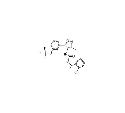 Cc1noc(-c2cccc(OC(F)(F)F)c2)c1NC(=O)OC(C)c1ccccc1Cl